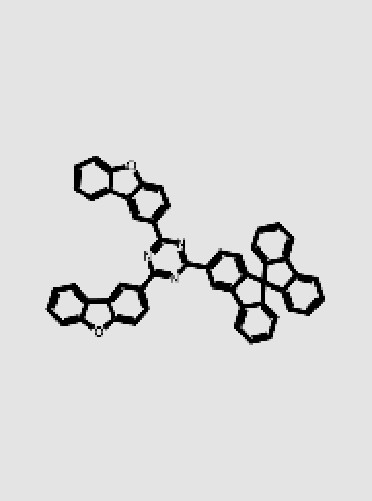 c1ccc2c(c1)-c1ccccc1C21c2ccccc2-c2cc(-c3nc(-c4ccc5oc6ccccc6c5c4)nc(-c4ccc5oc6ccccc6c5c4)n3)ccc21